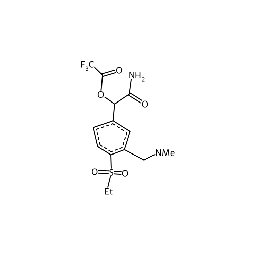 CCS(=O)(=O)c1ccc(C(OC(=O)C(F)(F)F)C(N)=O)cc1CNC